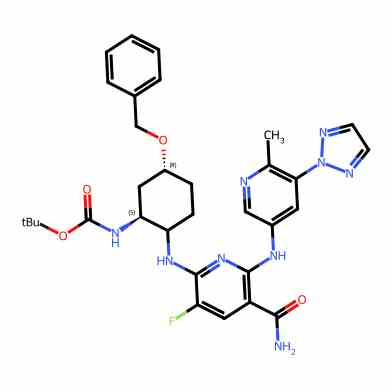 Cc1ncc(Nc2nc(NC3CC[C@@H](OCc4ccccc4)C[C@@H]3NC(=O)OC(C)(C)C)c(F)cc2C(N)=O)cc1-n1nccn1